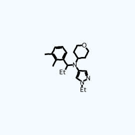 CCC(c1cccc(C)c1C)N(c1cnn(CC)c1)C1CCOCC1